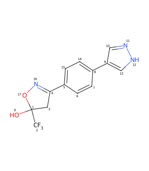 OC1(C(F)(F)F)CC(c2ccc(-c3cn[nH]c3)cc2)=NO1